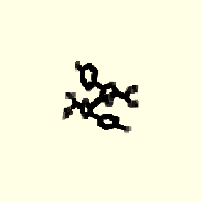 N#CC(C#N)=c1nc(-c2ccc(F)cc2)/c(=c2\oc(=C(C#N)C#N)nc2-c2ccc(F)cc2)o1